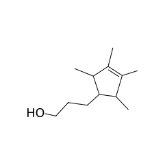 CC1=C(C)C(C)C(CCCO)C1C